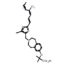 C\C=C/C(=C\C=C\c1nc(C)c(CN2CCc3ccc(OC(C)(C)C(=O)O)cc3CC2)o1)C(F)(F)F